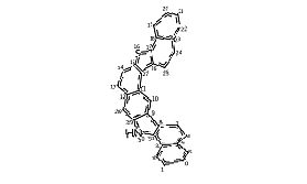 c1ccc2c(c1)ccc1c3cc4c(ccc5sc6c7ccccc7ccc6c54)cc3[nH]c21